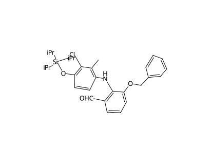 Cc1c(Nc2c(C=O)cccc2OCc2ccccc2)ccc(O[Si](C(C)C)(C(C)C)C(C)C)c1Cl